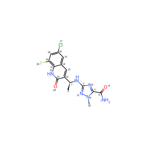 C[C@H](Nc1nc(C(N)=O)n(C)n1)c1cc2cc(Cl)cc(F)c2[nH]c1=O